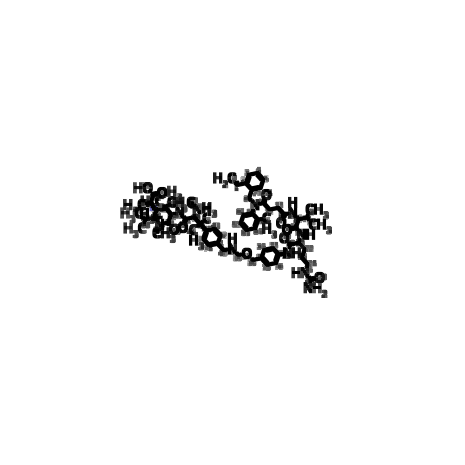 C=Cc1ccccc1CN(C(=O)CCC(=O)N[C@H](C(=O)N[C@@H](CCCNC(N)=O)C(=O)Nc1ccc(COCNCc2ccc(C(C)(C)[C@@H](NC)C(=O)N[C@H](C(=O)N(C)[C@H](/C=C(\C)C(=O)O)C(C)C)C(C)(C)C)cc2)cc1)C(C)C)c1ccccc1C